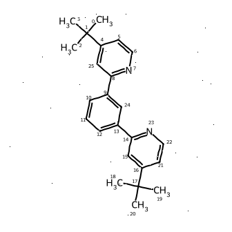 CC(C)(C)c1ccnc(-c2cccc(-c3cc(C(C)(C)C)ccn3)c2)c1